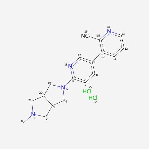 CN1CC2CN(c3ccc(-c4cccnc4C#N)cn3)CC2C1.Cl.Cl